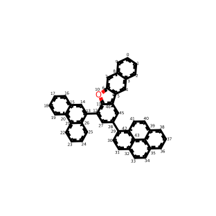 c1ccc2cc3c(cc2c1)oc1c(-c2cc4ccccc4c4ccccc24)cc(-c2ccc4ccc5cccc6ccc2c4c56)cc13